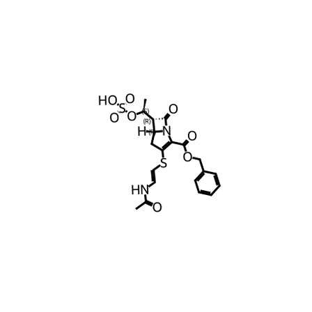 CC(=O)NC=CSC1=C(C(=O)OCc2ccccc2)N2C(=O)[C@@H]([C@H](C)OS(=O)(=O)O)[C@H]2C1